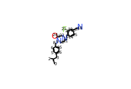 CC(C)Cc1ccc(CN2CCN(c3ccc(C#N)cc3F)CC2=O)cc1